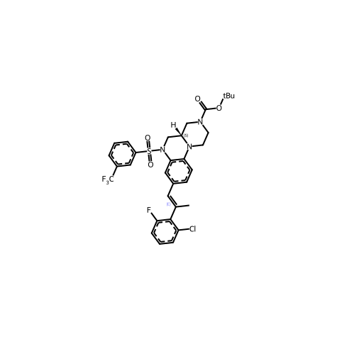 C/C(=C\c1ccc2c(c1)N(S(=O)(=O)c1cccc(C(F)(F)F)c1)C[C@@H]1CN(C(=O)OC(C)(C)C)CCN21)c1c(F)cccc1Cl